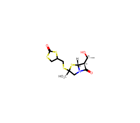 C[C@@H](O)[C@H]1C(=O)N2CC(SCC3CSC(=O)S3)(C(=O)O)S[C@H]12